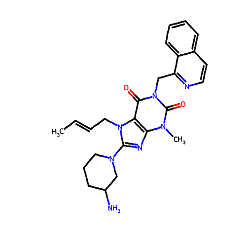 CC=CCn1c(N2CCCC(N)C2)nc2c1c(=O)n(Cc1nccc3ccccc13)c(=O)n2C